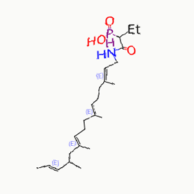 C/C=C/C(C)C/C(C)=C/CC/C(C)=C/CC/C(C)=C/CNC(=O)C(CC)[PH](=O)O